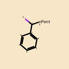 CCCCCC(I)c1ccccc1